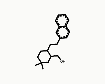 CC1(C)CCC(CCc2ccc3ccccc3c2)C(CO)C1